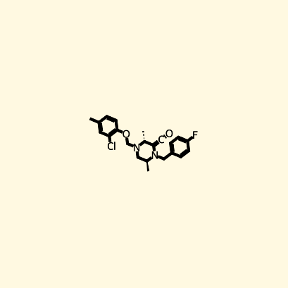 Cc1ccc(OCN2C[C@H](C)N(Cc3ccc(F)cc3)C(=C=O)[C@H]2C)c(Cl)c1